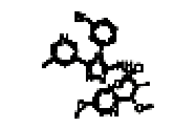 COc1cnc([C@@H](OC)[C@H](C)S(=O)(=O)Nc2nnc(-c3cncc(C)c3)n2-c2cccc(Br)c2)nc1